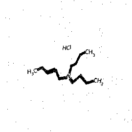 CCC=CCN(CCCC)CCCC.Cl